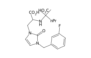 CCCC(C)(NC(Cn1ccn(Cc2cccc(F)c2)c1=O)C(=O)O)C(=O)O